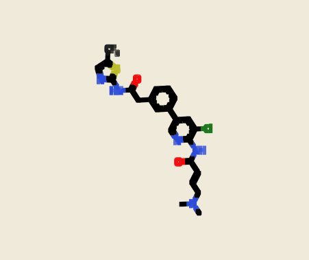 CN(C)C/C=C/C(=O)Nc1ncc(-c2cccc(CC(=O)Nc3ncc(C(F)(F)F)s3)c2)cc1Cl